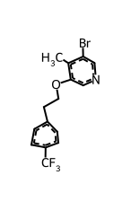 Cc1c(Br)cncc1OCCc1ccc(C(F)(F)F)cc1